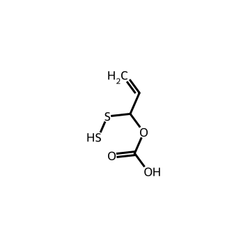 C=CC(OC(=O)O)SS